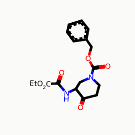 CCOC(=O)C(=O)NC1CN(C(=O)OCc2ccccc2)CCC1=O